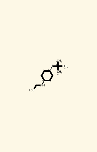 CCN[C@H]1CC[C@H](CC(C)(C)C)CC1